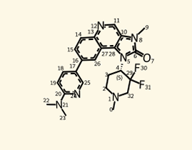 CN1CC[C@H](n2c(=O)n(C)c3cnc4ccc(-c5ccc(N(C)C)nc5)cc4c32)C(F)(F)C1